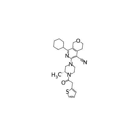 C[C@@H]1CN(c2nc(C3CCCCC3)c3c(c2C#N)CCOC3)CCN1C(=O)Cc1cccs1